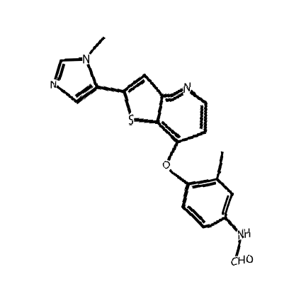 Cc1cc(NC=O)ccc1Oc1ccnc2cc(-c3cncn3C)sc12